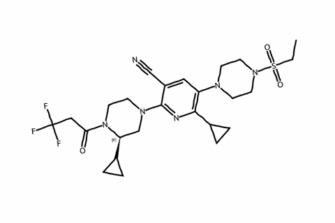 CCS(=O)(=O)N1CCN(c2cc(C#N)c(N3CCN(C(=O)CC(F)(F)F)[C@H](C4CC4)C3)nc2C2CC2)CC1